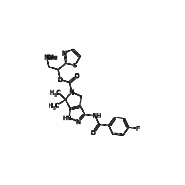 CNCC(OC(=O)N1Cc2c(NC(=O)c3ccc(F)cc3)n[nH]c2C1(C)C)c1nccs1